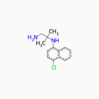 CC(C)(CN)Nc1ccc(Cl)c2ccccc12